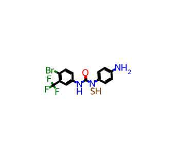 Nc1ccc(N(S)C(=O)Nc2ccc(Br)c(C(F)(F)F)c2)cc1